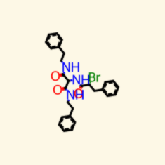 O=C(NCCc1ccccc1)C(NC(=O)[C@H](Br)Cc1ccccc1)C(=O)NCCc1ccccc1